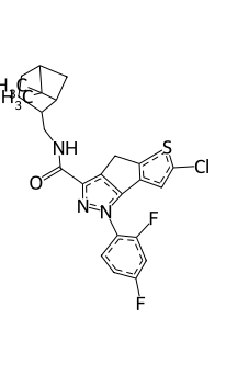 CC1(C)C2CCC(CNC(=O)c3nn(-c4ccc(F)cc4F)c4c3Cc3sc(Cl)cc3-4)C1C2